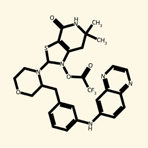 CC1(C)CC2=C(SC(N3CCOCC3Cc3cccc(Nc4ccc5nccnc5c4)c3)N2OC(=O)C(F)(F)F)C(=O)N1